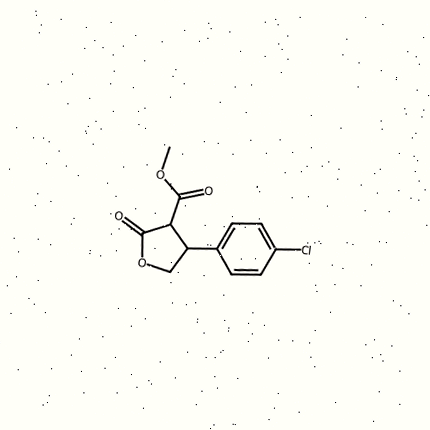 COC(=O)C1C(=O)OCC1c1ccc(Cl)cc1